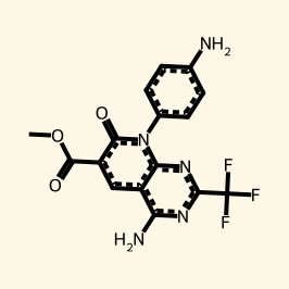 COC(=O)c1cc2c(N)nc(C(F)(F)F)nc2n(-c2ccc(N)cc2)c1=O